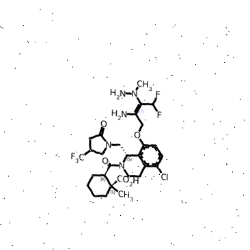 CN(N)/C(=C(\N)COc1ccc(Cl)c2c1[C@@H](CN1CC(C(F)(F)F)CC1=O)N(C(=O)[C@@H]1CCCC[C@]1(C)C(=O)O)CC2)C(F)F